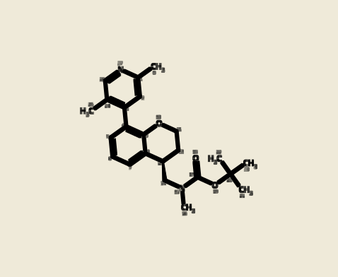 Cc1cc(-c2cccc3c2OCC[C@H]3CN(C)C(=O)OC(C)(C)C)c(C)cn1